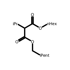 CCCCCCOC(=O)C(C(=O)OCC(C)CCC)C(C)C